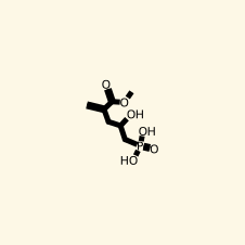 C=C(CC(O)CP(=O)(O)O)C(=O)OC